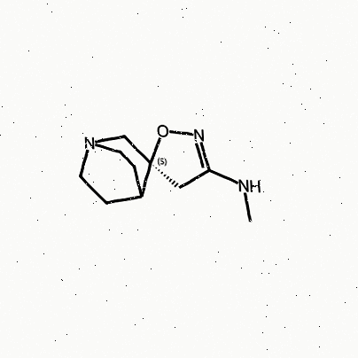 CNC1=NO[C@]2(C1)CN1CCC2CC1